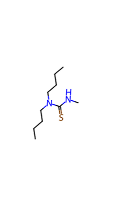 CCCCN(CCCC)C(=S)NC